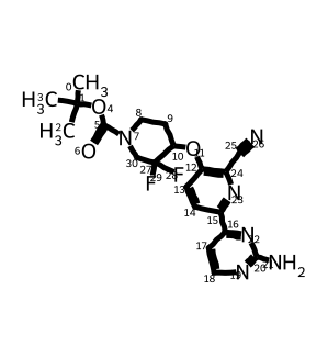 CC(C)(C)OC(=O)N1CCC(Oc2ccc(-c3ccnc(N)n3)nc2C#N)C(F)(F)C1